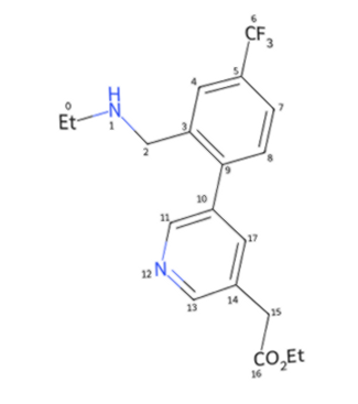 CCNCc1cc(C(F)(F)F)ccc1-c1cncc(CC(=O)OCC)c1